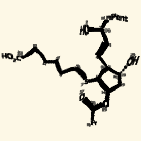 CCCCC[C@H](O)C=C[C@@H]1C(SCCCCCC(=O)O)=C(OC(=O)C(C)C)C[C@H]1O